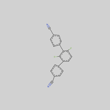 N#Cc1ccc(-c2ccc(F)c(-c3ccc(C#N)cc3)c2F)cc1